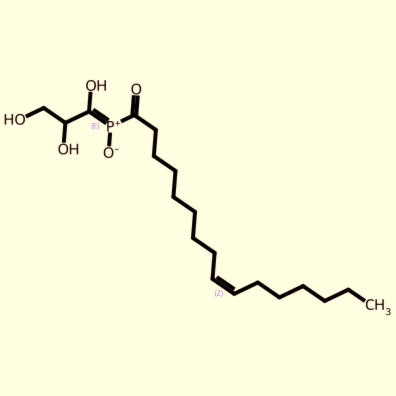 CCCCCC/C=C\CCCCCCCC(=O)/[P+]([O-])=C(\O)C(O)CO